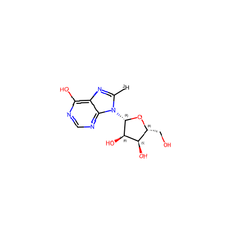 [2H]c1nc2c(O)ncnc2n1[C@@H]1O[C@H](CO)[C@@H](O)[C@H]1O